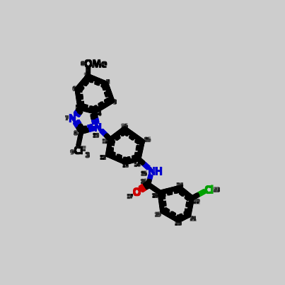 COc1ccc2c(c1)nc(C(F)(F)F)n2-c1ccc(NC(=O)c2cccc(Cl)c2)cc1